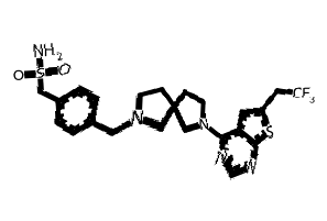 NS(=O)(=O)Cc1ccc(CN2CCC3(CCN(c4ncnc5sc(CC(F)(F)F)cc45)C3)C2)cc1